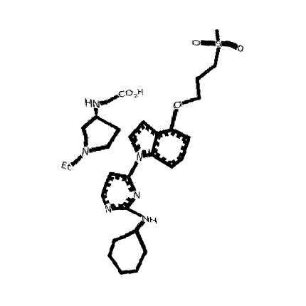 CCN1CC[C@H](NC(=O)O)C1.CS(=O)(=O)CCCOc1cccc2c1ccn2-c1ccnc(NC2CCCCC2)n1